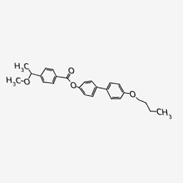 CCCCOc1ccc(-c2ccc(OC(=O)c3ccc(C(C)OC)cc3)cc2)cc1